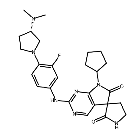 CN(C)[C@H]1CCN(c2ccc(Nc3ncc4c(n3)N(C3CCCC3)C(=O)C43CCNC3=O)cc2F)C1